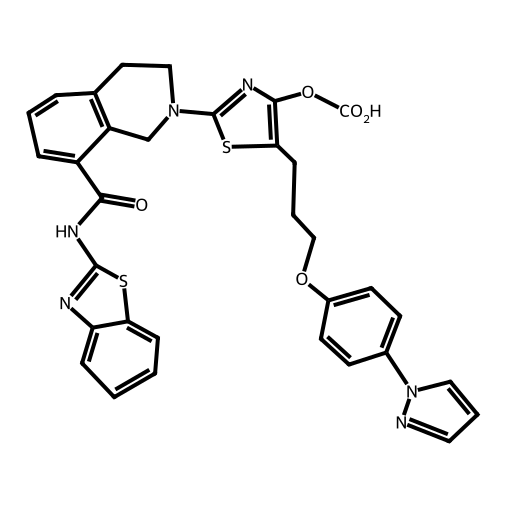 O=C(O)Oc1nc(N2CCc3cccc(C(=O)Nc4nc5ccccc5s4)c3C2)sc1CCCOc1ccc(-n2cccn2)cc1